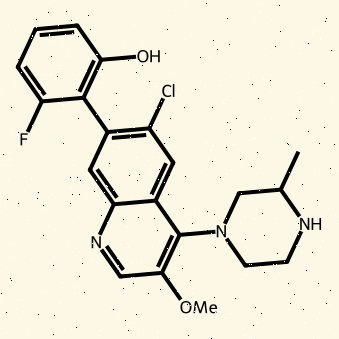 COc1cnc2cc(-c3c(O)cccc3F)c(Cl)cc2c1N1CCNC(C)C1